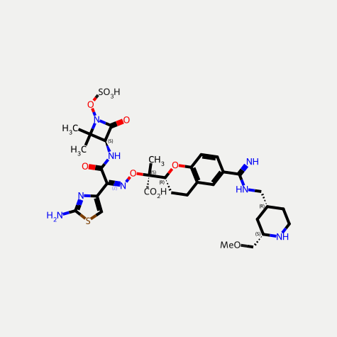 COC[C@@H]1C[C@H](CNC(=N)c2ccc3c(c2)CC[C@H]([C@](C)(O/N=C(\C(=O)N[C@@H]2C(=O)N(OS(=O)(=O)O)C2(C)C)c2csc(N)n2)C(=O)O)O3)CCN1